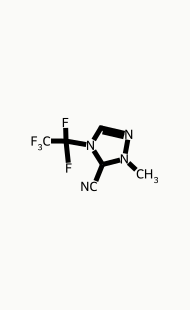 CN1N=CN(C(F)(F)C(F)(F)F)C1C#N